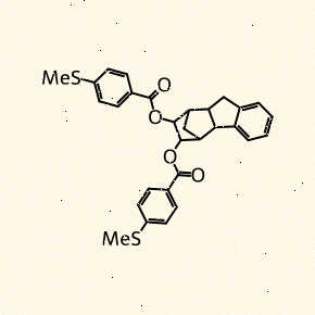 CSc1ccc(C(=O)OC2C3CC(C2OC(=O)c2ccc(SC)cc2)C2c4ccccc4CC32)cc1